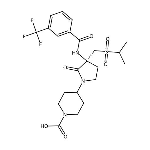 CC(C)S(=O)(=O)C[C@]1(NC(=O)c2cccc(C(F)(F)F)c2)CCN(C2CCN(C(=O)O)CC2)C1=O